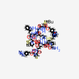 C[C@H](OC(=O)[C@@H]1CCCN1C(=O)[C@H](CSSC(C)(C)C)NC(=O)[C@H](Cc1c[nH]c2ccccc12)NC(=O)[C@H](CCCCN(C)C)NC(=O)CNC(=O)[C@H](CSSC(C)(C)C)NC(=O)OCc1ccc(N=[N+]=[N-])cc1)C(=O)N[C@@H](CCCCNC(=O)C1CSCN1C(=O)OCc1ccc(N=[N+]=[N-])cc1)C(=O)N[C@@H](CC=[SH]Cc1ccccc1)C(=O)N1CCC[C@H]1C(N)=O